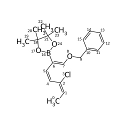 C\C=C(Cl)/C=C\C(=C\OCc1ccccc1)B1OC(C)(C)C(C)(C)O1